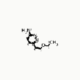 CCO/C=C\c1ccc(N)nn1